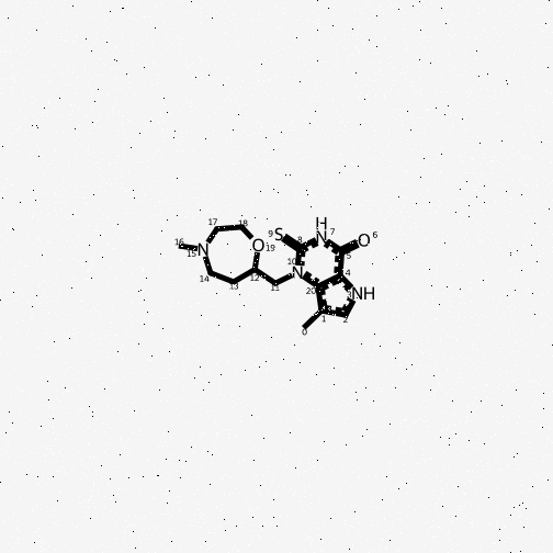 Cc1c[nH]c2c(=O)[nH]c(=S)n(CC3CCN(C)CCO3)c12